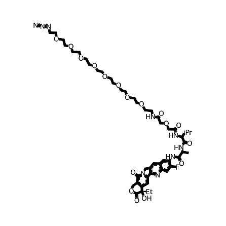 CC[C@@]1(O)C(=O)OCc2c1cc1n(c2=O)Cc2cc3cc(NC(=O)C(C)NC(=O)C(NC(=O)COCC(=O)NCCOCCOCCOCCOCCOCCOCCOCCOCCN=[N+]=[N-])C(C)C)c(F)cc3nc2-1